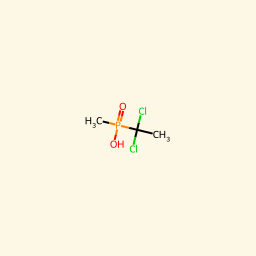 CC(Cl)(Cl)P(C)(=O)O